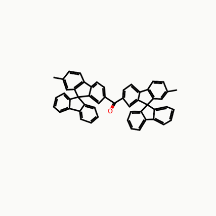 Cc1ccc2c(c1)C1(c3ccccc3-c3ccccc31)c1cc(C(=O)c3ccc4c(c3)C3(c5ccccc5-c5ccccc53)c3cc(C)ccc3-4)ccc1-2